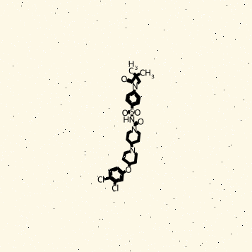 CC1(C)CN(c2ccc(S(=O)(=O)NC(=O)N3CCC(N4CCC(Oc5ccc(Cl)c(Cl)c5)CC4)CC3)cc2)C1=O